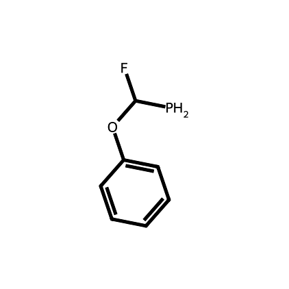 FC(P)Oc1ccccc1